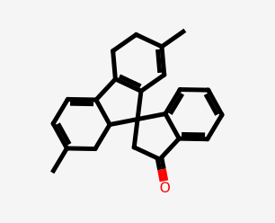 CC1=CC2=C(CC1)C1=CC=C(C)CC1C21CC(=O)c2ccccc21